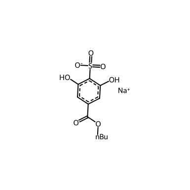 CCCCOC(=O)c1cc(O)c(S(=O)(=O)[O-])c(O)c1.[Na+]